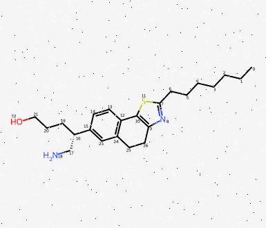 CCCCCCCc1nc2c(s1)-c1ccc([C@H](CN)CCCO)cc1CC2